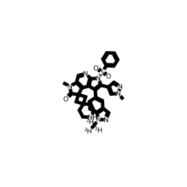 [2H]C([2H])([2H])n1ncc2cc(-c3c(-c4cnn(C)c4)n(S(=O)(=O)c4ccccc4)c4ncc5c(c34)C3(CC4(CCNCC4)C3)C(=O)N5C)ccc21